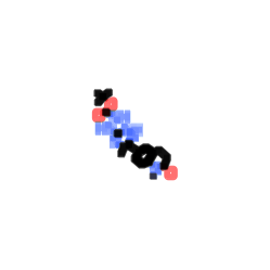 CC1N=C(NNC(=O)OC(C)(C)C)NN=C1c1ccc2c(c1)CCC(=O)N2C